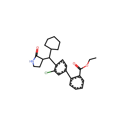 CCOC(=O)c1ccccc1-c1ccc(C(C2CCCCC2)C2CCNC2=O)c(Cl)c1